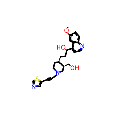 COc1ccc2nccc([C@@H](O)CC[C@@H]3CCN(CC#Cc4cncs4)C[C@@H]3CO)c2c1